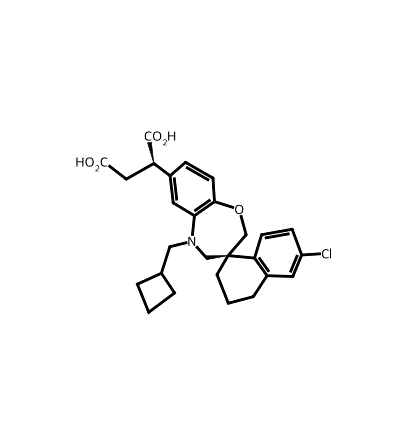 O=C(O)C[C@@H](C(=O)O)c1ccc2c(c1)N(CC1CCC1)C[C@@]1(CCCc3cc(Cl)ccc31)CO2